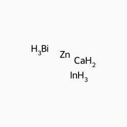 [BiH3].[CaH2].[InH3].[Zn]